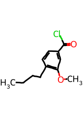 CCCCc1ccc(C(=O)Cl)cc1OC